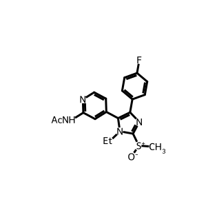 CCn1c([S+](C)[O-])nc(-c2ccc(F)cc2)c1-c1ccnc(NC(C)=O)c1